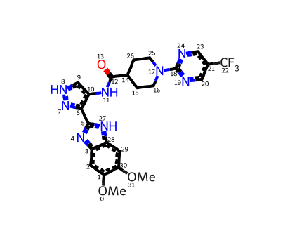 COc1cc2nc(-c3n[nH]cc3NC(=O)C3CCN(c4ncc(C(F)(F)F)cn4)CC3)[nH]c2cc1OC